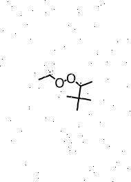 C[CH]OO[C](C)C(C)(C)C